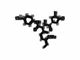 C=C(/C=C\C(=C/C)OC)[C@@H](NC(=O)[C@@H]1CNC(=O)C1)C(=O)Nc1ccc(C(C)(C)C)cc1